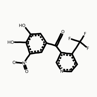 O=C(c1cc(O)c(O)c([N+](=O)[O-])c1)c1cnccc1C(F)(F)F